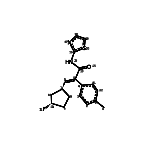 Cc1ccc(/C(=C\[C@@H]2CC[C@H](F)C2)C(=O)Nc2nccs2)cc1